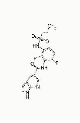 O=C(Nc1c(F)ccc(NS(=O)(=O)CCC(F)(F)F)c1F)c1cnc2[nH]ccc2c1